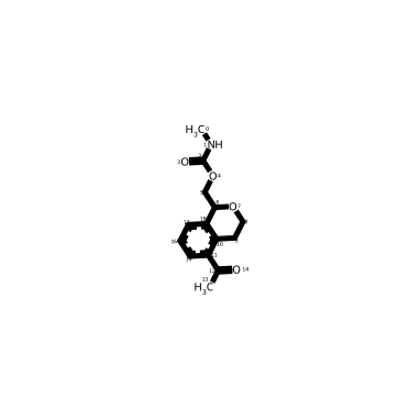 CNC(=O)OCC1OCCc2c(C(C)=O)cccc21